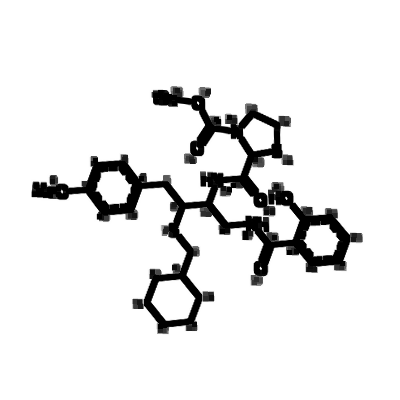 COc1ccc(CC(SCC2CCCCC2)C(CNC(=O)c2ccccc2O)NC(=O)C2SCCN2C(=O)OC(C)(C)C)cc1